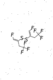 FC=C(CC(F)(F)F)SSC(=CF)CC(F)(F)F